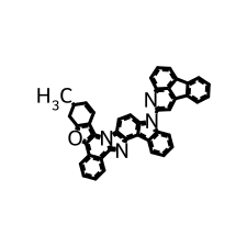 CC1C=Cc2c(oc3c4ccccc4c4nc5c6c7ccccc7n(-c7cc8c9c(cccc9n7)-c7ccccc7-8)c6ccc5n4c23)C1